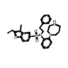 CCc1oc2ccc(S(=O)(=O)N(CCc3ccccc3)c3ccccc3N3CCCNCC3)cc2c1C